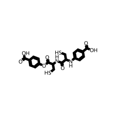 O=C(O)c1ccc(NC(CS)C(=O)NC(CS)C(=O)Oc2ccc(C(=O)O)cc2)cc1